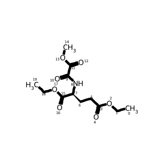 CCOC(=O)CC[C@H](NC(=O)C(=O)OC)C(=O)OCC